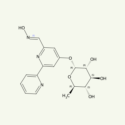 C[C@H]1O[C@H](Oc2cc(/C=N/O)nc(-c3ccccn3)c2)[C@H](O)[C@@H](O)[C@@H]1O